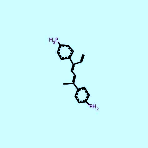 C=C/C(=C\C=C(/C)c1ccc(P)cc1)c1ccc(P)cc1